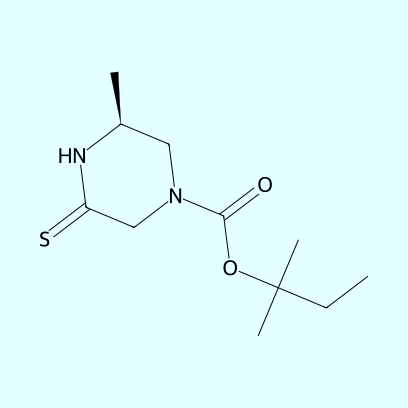 CCC(C)(C)OC(=O)N1CC(=S)N[C@@H](C)C1